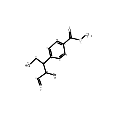 COC(=O)c1ccc(C(CO)C(Br)C=O)cc1